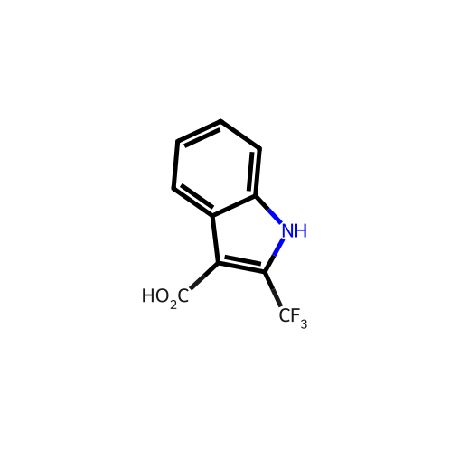 O=C(O)c1c(C(F)(F)F)[nH]c2ccccc12